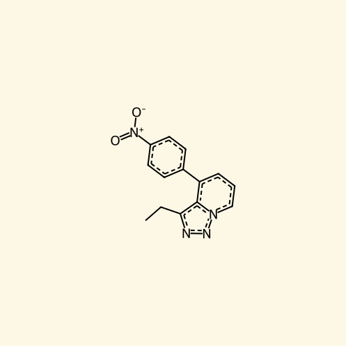 CCc1nnn2cccc(-c3ccc([N+](=O)[O-])cc3)c12